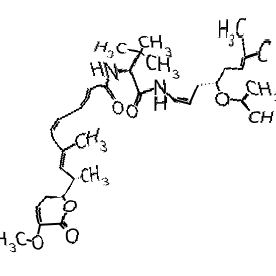 COC1=CC[C@@H]([C@@H](C)/C=C(C)/C=C\C=C\C(=O)N[C@H](C(=O)N/C=C\C[C@H](C/C=C(\C)Cl)OC(C)C)C(C)(C)C)OC1=O